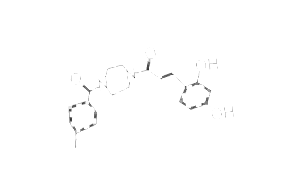 Cc1ccc(C(=O)N2CCN(C(=O)/C=C/c3ccc(O)cc3O)CC2)cc1